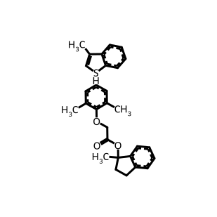 CC1=C[SH](c2cc(C)c(OCC(=O)OC3(C)CCc4ccccc43)c(C)c2)c2ccccc21